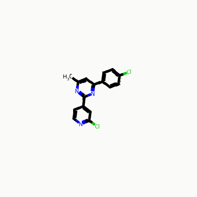 Cc1cc(-c2ccc(Cl)cc2)nc(-c2ccnc(Cl)c2)n1